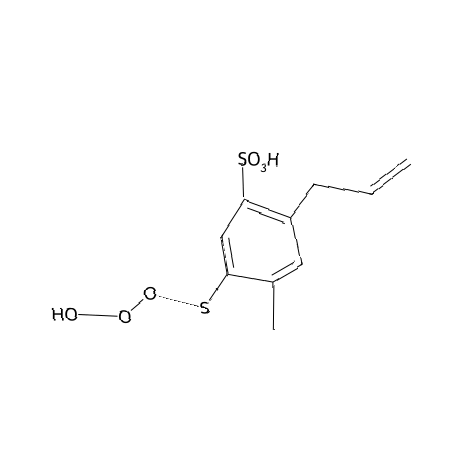 C=CCc1cc(C)c(SOOO)cc1S(=O)(=O)O